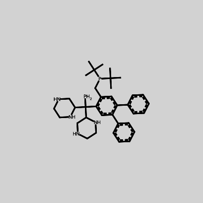 CC(C)(C)P(Cc1cc(-c2ccccc2)c(-c2ccccc2)cc1C(P)(C1CNCCN1)C1CNCCN1)C(C)(C)C